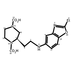 CCc1nc2cc(NCC[C@@H]3CN(C(=O)O)CCN3C(=O)O)ccc2o1